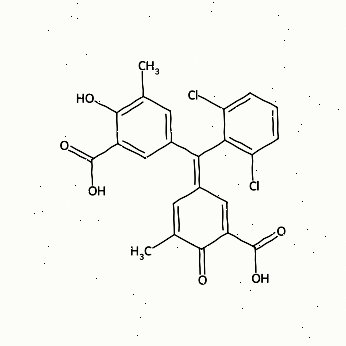 CC1=C/C(=C(\c2cc(C)c(O)c(C(=O)O)c2)c2c(Cl)cccc2Cl)C=C(C(=O)O)C1=O